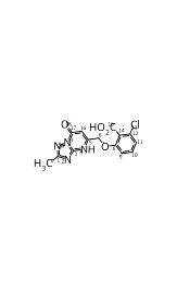 Cc1nc2[nH]c(COc3cccc(Cl)c3C(=O)O)cc(=O)n2n1